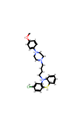 COc1ccc(N2CCN(CCCCN3c4cc(Cl)ccc4SC4C=CC=CC43)CC2)cc1